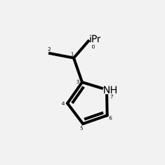 CC(C)C(C)c1ccc[nH]1